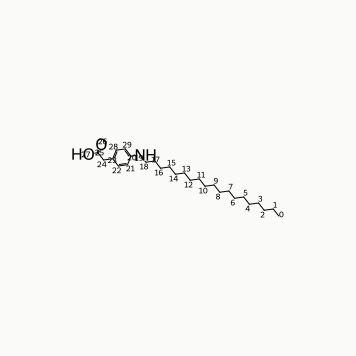 CCCCCCCCCCCCCCCCCCCNc1ccc(CC(=O)O)cc1